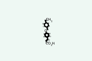 C=CC1CCC(COc2ccc(C=CC(=O)O)cc2)CC1